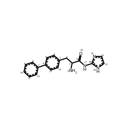 NC(Cc1ccc(-c2ccccc2)cc1)C(=O)Nc1ncc[nH]1